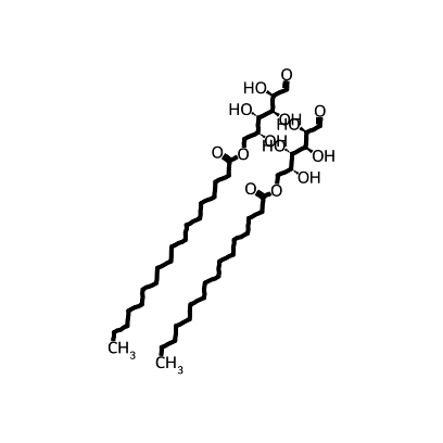 CCCCCCCCCCCCCCCC(=O)OC[C@@H](O)[C@H](O)[C@H](O)[C@@H](O)C=O.CCCCCCCCCCCCCCCCCC(=O)OC[C@@H](O)[C@H](O)[C@H](O)[C@@H](O)C=O